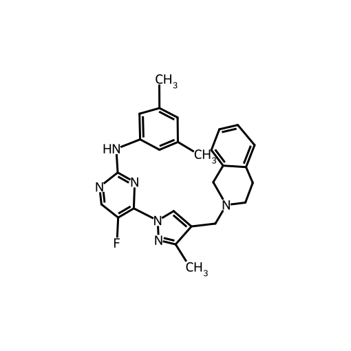 Cc1cc(C)cc(Nc2ncc(F)c(-n3cc(CN4CCc5ccccc5C4)c(C)n3)n2)c1